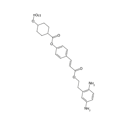 CCCCCCCCOC1CCC(C(=O)Oc2ccc(/C=C/C(=O)OCCc3cc(N)ccc3N)cc2)CC1